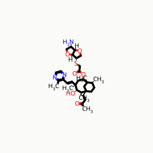 CC(=O)CC[C@]12CC[C@@H](C)[C@](C)(C1)[C@H](OC(=O)CS[C@H]1CO[C@H]3[C@@H]1OC[C@@H]3N)C[C@](C)(/C=C/c1nccnc1C)[C@@H](O)[C@@H]2C